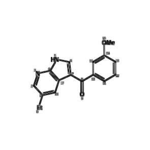 CCc1cnc2[nH]cc(C(=O)c3cccc(OC)c3)c2c1